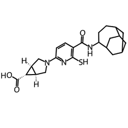 O=C(NC1CCC2CC3CC2CC1C3)c1ccc(N2C[C@@H]3[C@H](C2)[C@H]3C(=O)O)nc1S